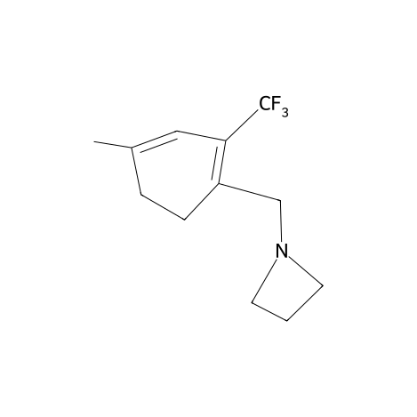 CC1=CC(C(F)(F)F)=C(CN2CCC2)CC1